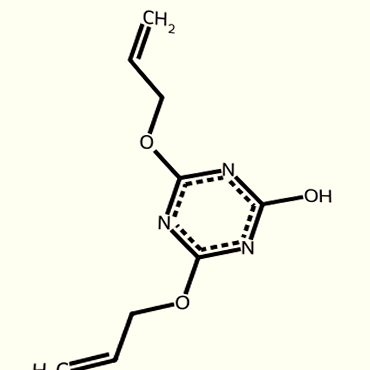 C=CCOc1nc(O)nc(OCC=C)n1